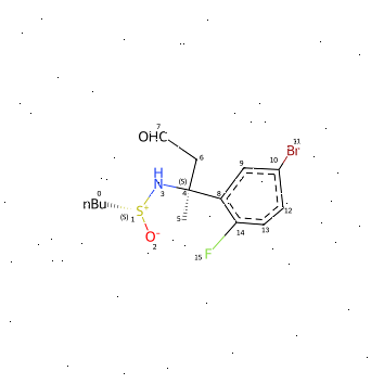 CCCC[S@@+]([O-])N[C@@](C)(CC=O)c1cc(Br)ccc1F